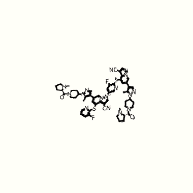 Cc1c(-c2cc(Sc3ncccc3F)c3c(C#N)c[n+](-c4cnc(Sc5cc(-c6cnn(C7CCN(C(=O)[C@@H]8CCCN8C)CC7)c6C)cn6ncc(C#N)c56)c(F)c4)n3c2)cnn1C1CCN(C(=O)[C@H]2CCCN2C)CC1